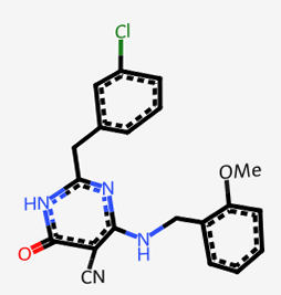 COc1ccccc1CNc1nc(Cc2cccc(Cl)c2)[nH]c(=O)c1C#N